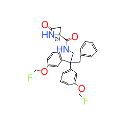 O=C1C[C@@H](C(=O)NCC(Cc2ccccc2)(c2cccc(OCF)c2)c2cccc(OCF)c2)N1